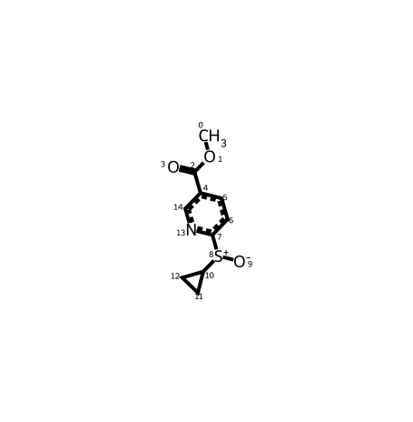 COC(=O)c1ccc([S+]([O-])C2CC2)nc1